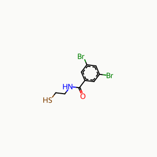 O=C(NCCS)c1cc(Br)cc(Br)c1